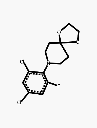 Fc1cc(Cl)cc(Cl)c1N1CCC2(CC1)OCCO2